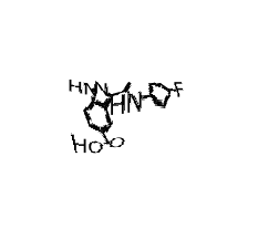 C=C(Nc1ccc(F)cc1)c1n[nH]c2ccc(C(=O)O)cc12